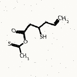 C=CCC(S)CC(=O)OC(C)=S